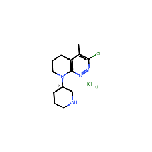 Cc1c(Cl)nnc2c1CCCN2[C@@H]1CCCNC1.Cl.Cl